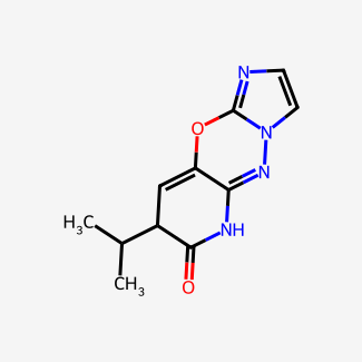 CC(C)C1C=C2Oc3nccn3N=C2NC1=O